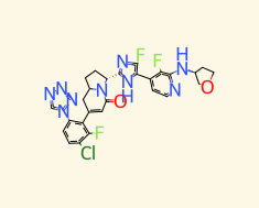 O=C1C=C(c2c(-n3cnnn3)ccc(Cl)c2F)CC2CC[C@H](c3nc(F)c(-c4ccnc(N[C@H]5CCOC5)c4F)[nH]3)N12